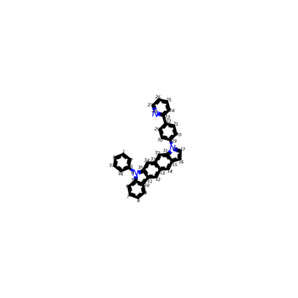 c1ccc(-n2c3ccccc3c3cc4cc5ccn(-c6ccc(-c7ccccn7)cc6)c5cc4cc32)cc1